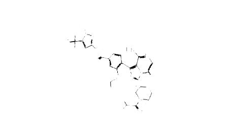 CCOc1cc(C(=O)Nc2cc(C(F)(F)F)n(C)n2)ccc1-c1nc([C@H]2CN(C(=O)C(C)O)[C@@H](C)CO2)n2c(Cl)cnc(N)c12